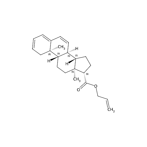 C=CCOC(=O)[C@H]1CC[C@H]2[C@@H]3C=CC4=CC=CC[C@]4(C)[C@H]3CC[C@]12C